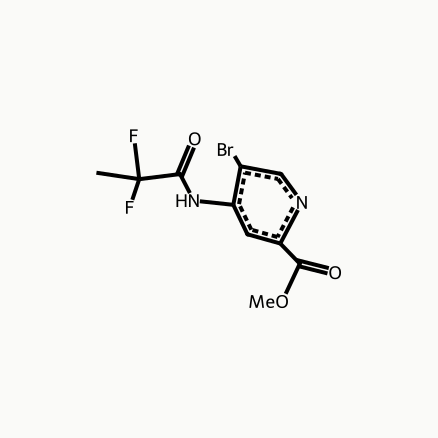 COC(=O)c1cc(NC(=O)C(C)(F)F)c(Br)cn1